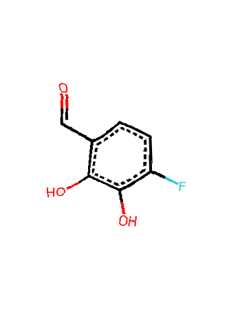 O=Cc1ccc(F)c(O)c1O